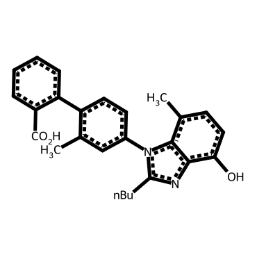 CCCCc1nc2c(O)ccc(C)c2n1-c1ccc(-c2ccccc2C(=O)O)c(C)c1